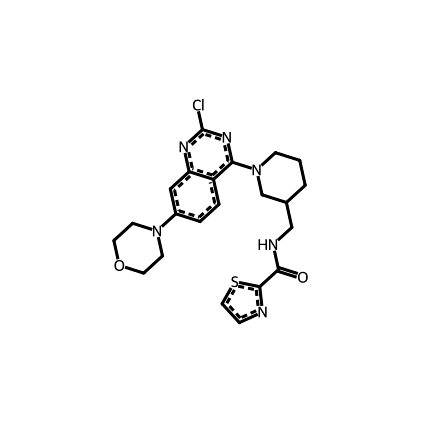 O=C(NCC1CCCN(c2nc(Cl)nc3cc(N4CCOCC4)ccc23)C1)c1nccs1